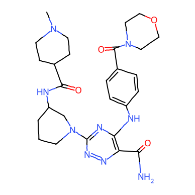 CN1CCC(C(=O)NC2CCCN(c3nnc(C(N)=O)c(Nc4ccc(C(=O)N5CCOCC5)cc4)n3)C2)CC1